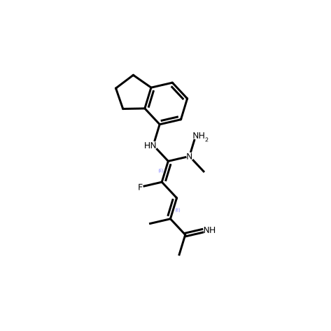 CC(=N)/C(C)=C/C(F)=C(/Nc1cccc2c1CCC2)N(C)N